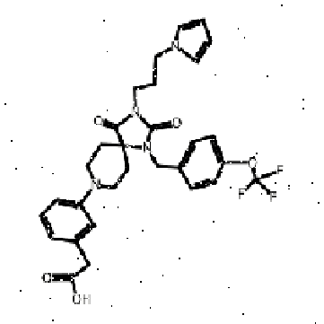 O=C(O)Cc1cccc(N2CCC3(CC2)C(=O)N(CCCn2cccc2)C(=O)N3Cc2ccc(OC(F)(F)F)cc2)c1